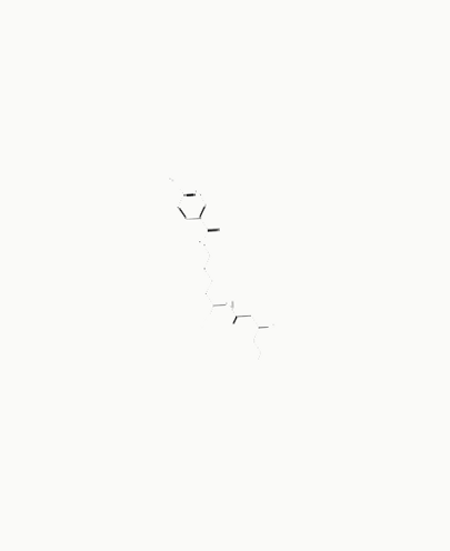 CC(=O)C(CCC(=O)O)CC(=O)NC(CCCCNC(=O)c1ccc([18F])nc1)C(=O)O